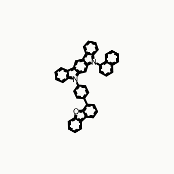 c1ccc2c(-n3c4ccccc4c4cc5c6ccccc6n(-c6ccc(-c7cccc8c7oc7ccccc78)cc6)c5cc43)cccc2c1